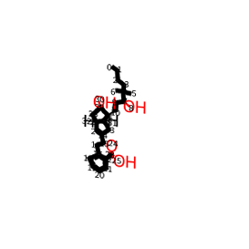 CCCCC(C)(C)[C@@H](O)/C=C/[C@H]1[C@H]2CC(CCc3ccccc3C(=O)O)=C[C@H]2C[C@H]1O